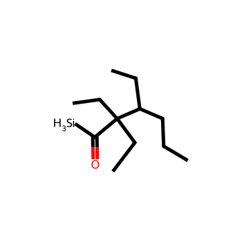 CCCC(CC)C(CC)(CC)C(=O)[SiH3]